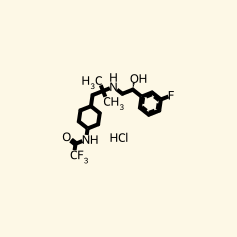 CC(C)(CC1CCC(NC(=O)C(F)(F)F)CC1)NC[C@H](O)c1cccc(F)c1.Cl